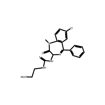 COCCNC(=S)NC1N=C(c2ccccc2)c2cc(Cl)ccc2N(C)C1=O